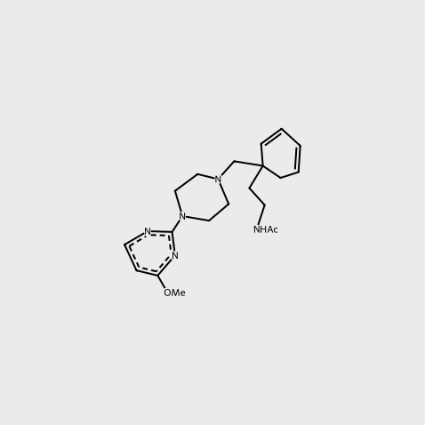 COc1ccnc(N2CCN(CC3(CCNC(C)=O)C=CC=CC3)CC2)n1